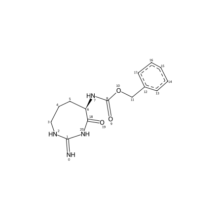 N=C1NCCC[C@@H](NC(=O)OCc2ccccc2)C(=O)N1